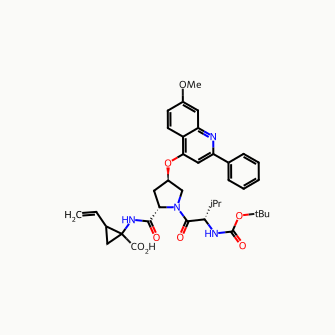 C=CC1CC1(NC(=O)[C@@H]1C[C@@H](Oc2cc(-c3ccccc3)nc3cc(OC)ccc23)CN1C(=O)[C@@H](NC(=O)OC(C)(C)C)C(C)C)C(=O)O